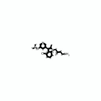 Cc1c(-c2cncc(SN(C)C)c2)c2c(Cl)cccc2n1C/C(F)=C/CN